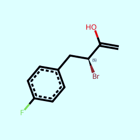 C=C(O)[C@@H](Br)Cc1ccc(F)cc1